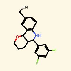 N#CCc1ccc2c(c1)C1OCCCC1C(c1cc(F)cc(F)c1)N2